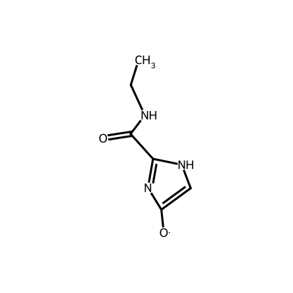 CCNC(=O)c1nc([O])c[nH]1